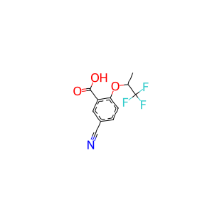 CC(Oc1ccc(C#N)cc1C(=O)O)C(F)(F)F